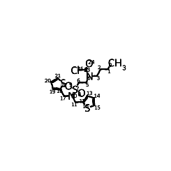 CCCCN(CCS(=O)(=O)N(Cc1cccs1)Cc1cccs1)C(=O)Cl